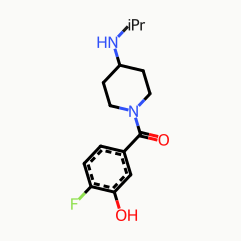 CC(C)NC1CCN(C(=O)c2ccc(F)c(O)c2)CC1